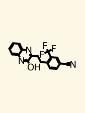 N#Cc1ccc(CCc2nc3ccccc3nc2O)c(C(F)(F)F)c1